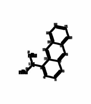 CCCCN(CCCC)c1cccc2cc3ccccc3cc12